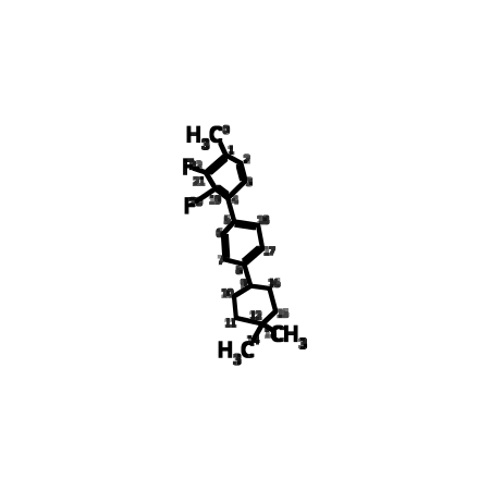 Cc1ccc(-c2ccc(C3CCC(C)(C)CC3)cc2)c(F)c1F